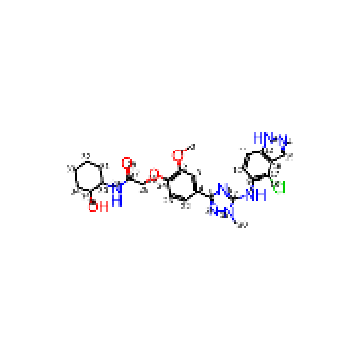 COc1cc(-c2nc(Nc3ccc4[nH]ncc4c3Cl)n(C)n2)ccc1OCC(=O)NC1CCCCC1O